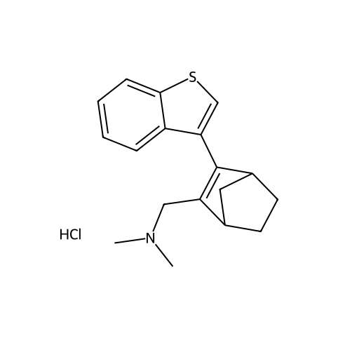 CN(C)CC1=C(c2csc3ccccc23)C2CCC1C2.Cl